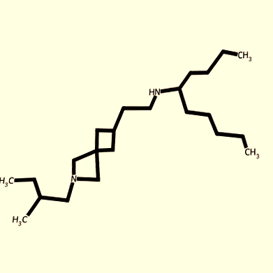 CCCCCC(CCCC)NCCC1CC2(C1)CN(CC(C)CC)C2